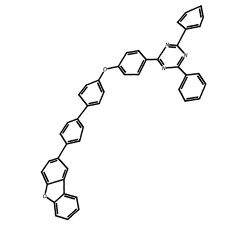 c1ccc(-c2nc(-c3ccccc3)nc(-c3ccc(Oc4ccc(-c5ccc(-c6ccc7oc8ccccc8c7c6)cc5)cc4)cc3)n2)cc1